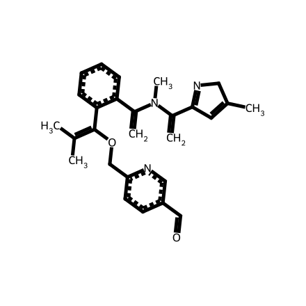 C=C(C1=NCC(C)=C1)N(C)C(=C)c1ccccc1C(OCc1ccc(C=O)cn1)=C(C)C